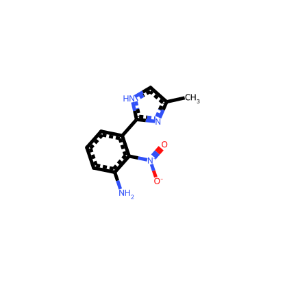 Cc1c[nH]c(-c2cccc(N)c2[N+](=O)[O-])n1